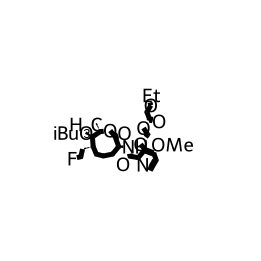 CCOCC(=O)OCOc1c(OC)ccnc1C(=O)N[C@H]1CCC[C@H](CCF)[C@@H](OCC(C)C)[C@H](C)OC1=O